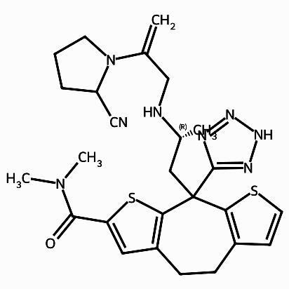 C=C(CN[C@H](C)CC1(c2nn[nH]n2)c2sccc2CCc2cc(C(=O)N(C)C)sc21)N1CCCC1C#N